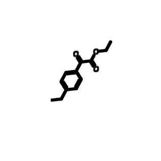 CCOC(=O)C(=O)c1ccc(CC)cc1